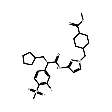 COC(=O)C1CCC(Cn2ccc(NC(=O)[C@H](CC3CCCC3)c3ccc(S(C)(=O)=O)c(Cl)c3)n2)CC1